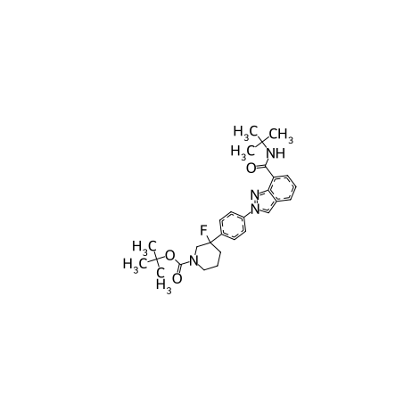 CC(C)(C)NC(=O)c1cccc2cn(-c3ccc(C4(F)CCCN(C(=O)OC(C)(C)C)C4)cc3)nc12